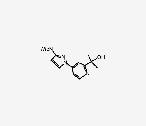 CNc1ccn(-c2ccnc(C(C)(C)O)c2)n1